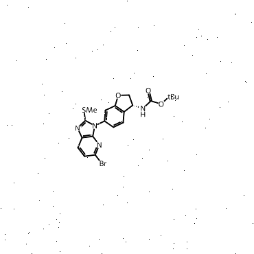 CSc1nc2ccc(Br)nc2n1-c1ccc2c(c1)OC[C@@H]2NC(=O)OC(C)(C)C